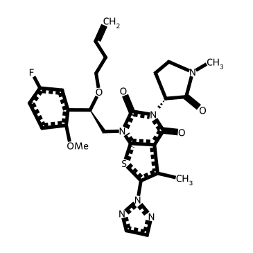 C=CCCO[C@@H](Cn1c(=O)n([C@@H]2CCN(C)C2=O)c(=O)c2c(C)c(-n3nccn3)sc21)c1cc(F)ccc1OC